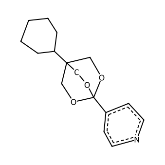 c1cc(C23OCC(C4CCCCC4)(CO2)CO3)ccn1